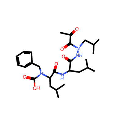 CC(=O)C(=O)N(CC(C)C)NC(=O)C(CC(C)C)NC(=O)C(CC(C)C)N(Cc1ccccc1)C(=O)O